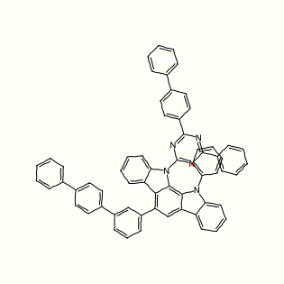 c1ccc(-c2ccc(-c3cccc(-c4cc5c6ccccc6n(-c6ccccc6)c5c5c4c4ccccc4n5-c4nc(-c5ccccc5)nc(-c5ccc(-c6ccccc6)cc5)n4)c3)cc2)cc1